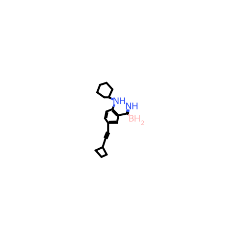 BC(=N)c1cc(C#CC2CCC2)ccc1NC1CCCCC1